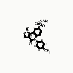 CNS(=O)(=O)c1ccc2c(c1)c1c(cnn1C)c(=O)n2-c1ccc(C(F)(F)F)cc1